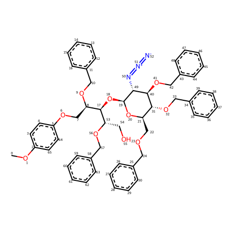 COc1ccc(OC[C@@H](OCc2ccccc2)[C@@H](O[C@@H]2O[C@H](COCc3ccccc3)[C@@H](OCc3ccccc3)[C@H](OCc3ccccc3)[C@H]2N=[N+]=[N-])[C@H](CO)OCc2ccccc2)cc1